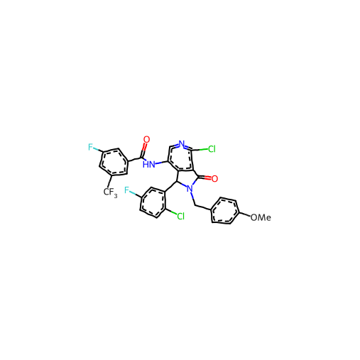 COc1ccc(CN2C(=O)c3c(Cl)ncc(NC(=O)c4cc(F)cc(C(F)(F)F)c4)c3C2c2cc(F)ccc2Cl)cc1